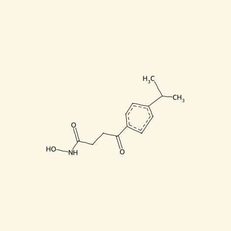 CC(C)c1ccc(C(=O)CCC(=O)NO)cc1